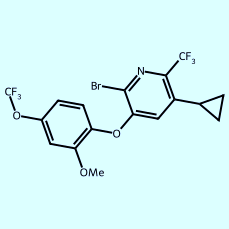 COc1cc(OC(F)(F)F)ccc1Oc1cc(C2CC2)c(C(F)(F)F)nc1Br